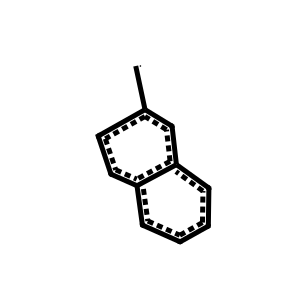 [CH2]c1ccc2ccccc2c1